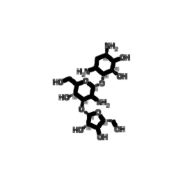 NC1C[C@@H](N)C(O)[C@@H](O)[C@@H]1O[C@H]1OC(CO)[C@@H](O)[C@H](O[C@@H]2O[C@H](CO)C(O)[C@@H]2O)C1N